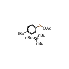 CC(=O)OSc1ccc(C(C)(C)C)cc1.CCC[CH2][Sn]([CH2]CCC)[CH2]CCC